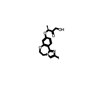 C[C@H](Oc1ccc2c(c1)OCCn1cc(I)nc1-2)C(=O)CO